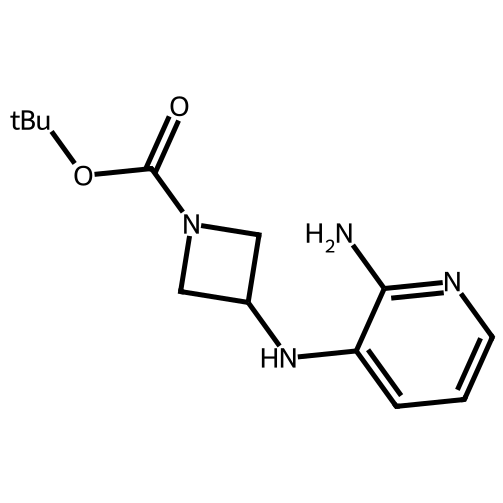 CC(C)(C)OC(=O)N1CC(Nc2cccnc2N)C1